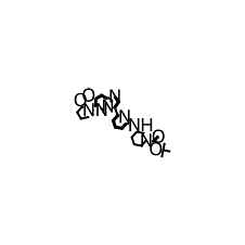 COc1cc2ncc(-c3cccc(NC4CCCN(C(=O)OC(C)(C)C)C4)n3)n2nc1N1CCCC1=O